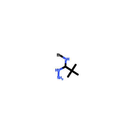 CCNC(NN)C(C)(C)C